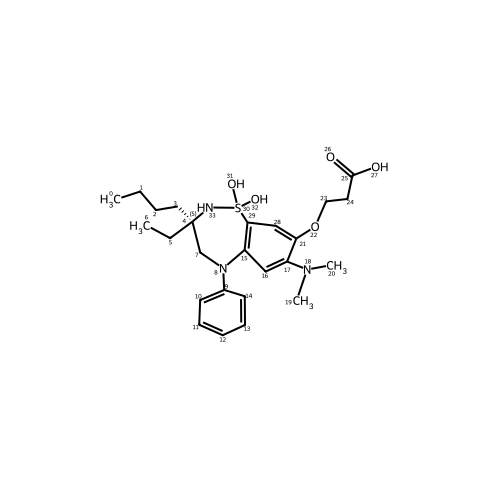 CCCC[C@@]1(CC)CN(c2ccccc2)c2cc(N(C)C)c(OCCC(=O)O)cc2S(O)(O)N1